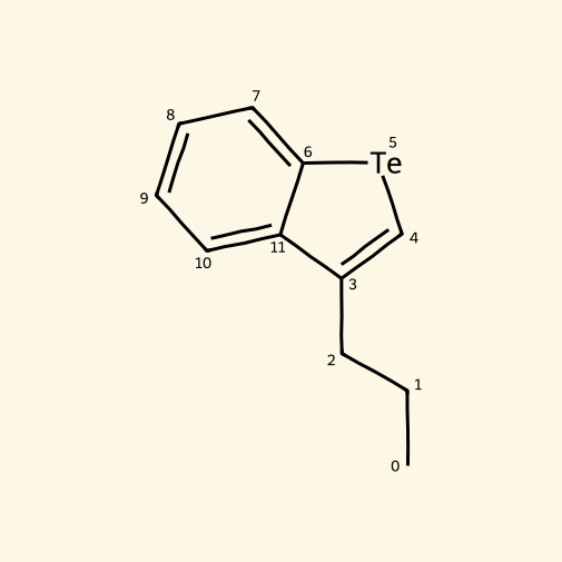 CCCc1c[te]c2ccccc12